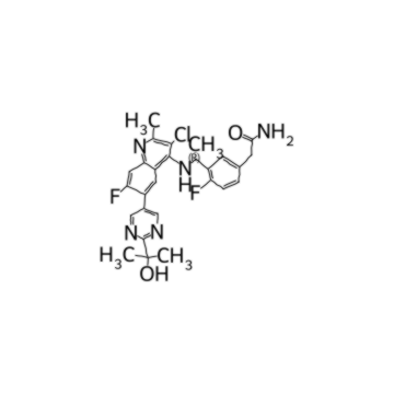 Cc1nc2cc(F)c(-c3cnc(C(C)(C)O)nc3)cc2c(N[C@H](C)c2cc(CC(N)=O)ccc2F)c1Cl